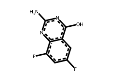 Nc1nc(O)c2cc(F)cc(F)c2n1